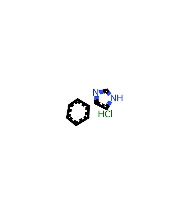 Cl.c1c[nH]cn1.c1ccccc1